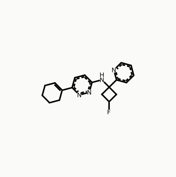 FC1CC(Nc2ccc(C3=CCCCC3)nn2)(c2ccccn2)C1